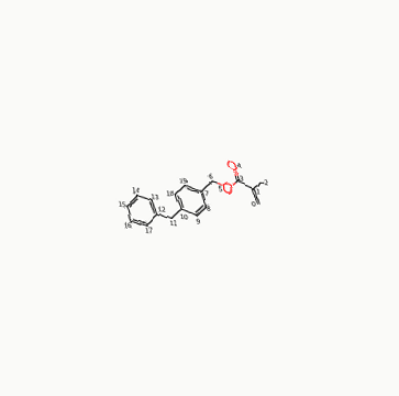 C=C(C)C(=O)OCc1ccc(Cc2ccccc2)cc1